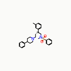 Cc1cccc([C@@H](CCN2CCC(c3ccccc3)CC2)CN(C)S(=O)(=O)c2ccccc2)c1